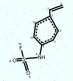 C=Cc1ccc(NS(=O)(=O)F)cc1